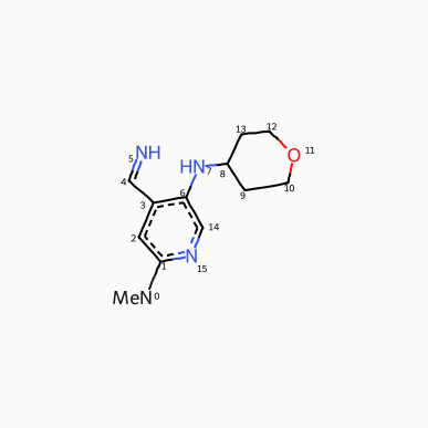 CNc1cc(C=N)c(NC2CCOCC2)cn1